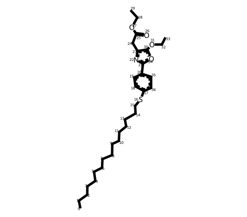 CCCCCCCCCCCCCCCCSc1ccc(-c2nc(CC(=O)OCC)c(OCC)o2)cc1